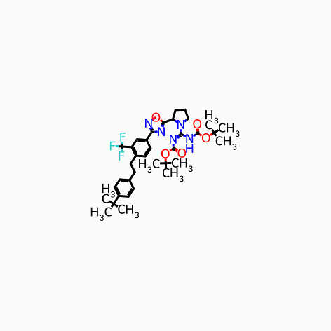 CC(C)(C)OC(=O)N=C(NC(=O)OC(C)(C)C)N1CCCC1c1nc(-c2ccc(CCc3ccc(C(C)(C)C)cc3)c(C(F)(F)F)c2)no1